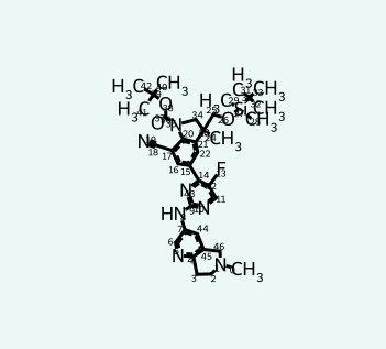 CN1CCc2ncc(Nc3ncc(F)c(-c4cc(C#N)c5c(c4)[C@@](C)(CO[Si](C)(C)C(C)(C)C)CN5C(=O)OC(C)(C)C)n3)cc2C1